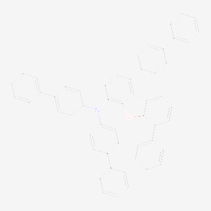 C1=CC(c2ccc(N(c3ccc(-c4ccccc4)cc3)c3ccc(-c4ccccc4)cc3)c3oc4c(-c5ccccc5)cccc4c23)CC=C1c1ccccc1